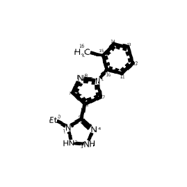 CCN1NNN=C1c1cnn(-c2ccccc2C)c1